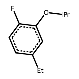 CCc1ccc(F)c(OC(C)C)c1